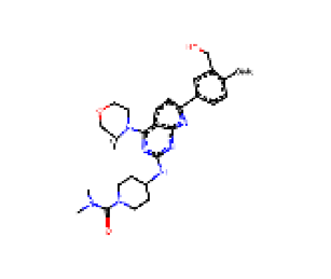 COc1ccc(-c2ccc3c(N4CCOC[C@@H]4C)nc(NC4CCN(C(=O)N(C)C)CC4)nc3n2)cc1CO